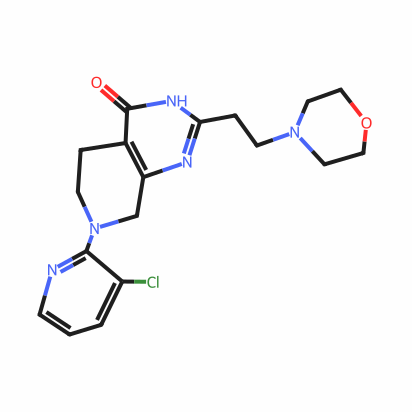 O=c1[nH]c(CCN2CCOCC2)nc2c1CCN(c1ncccc1Cl)C2